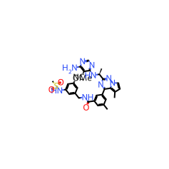 COc1cc(CNC(=O)c2cc(C)cc(-c3nc([C@H](C)Nc4ncnc(N)c4C#N)nn4ccc(C)c34)c2)cc(NS(C)(=O)=O)c1